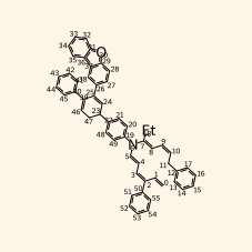 C=C/C(=C\C=C\N(/C(=C/C=C\Cc1ccccc1)CC)c1ccc(C2C=C(c3ccc4oc5ccccc5c4c3)C(c3ccccc3)=CC2)cc1)c1ccccc1